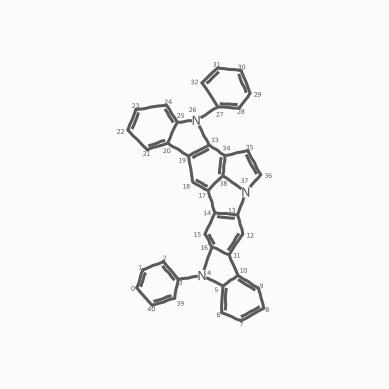 c1ccc(-n2c3ccccc3c3cc4c(cc32)c2cc3c5ccccc5n(-c5ccccc5)c3c3ccn4c23)cc1